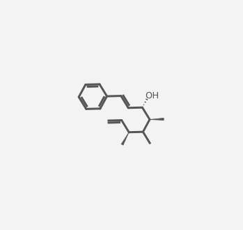 C=C[C@H](C)C(C)[C@H](C)[C@@H](O)/C=C/c1ccccc1